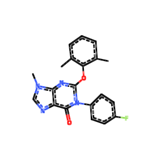 Cc1cccc(C)c1Oc1nc2c(ncn2C)c(=O)n1-c1ccc(F)cc1